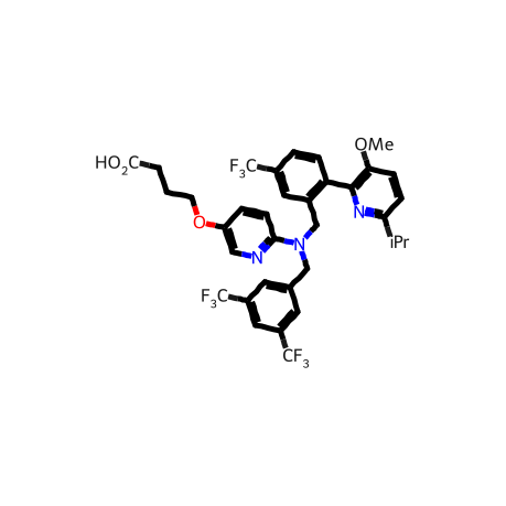 COc1ccc(C(C)C)nc1-c1ccc(C(F)(F)F)cc1CN(Cc1cc(C(F)(F)F)cc(C(F)(F)F)c1)c1ccc(OCCCC(=O)O)cn1